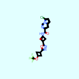 O=C(NC12CC(c3nnc(C4CC(OC(F)(F)F)C4)o3)(C1)C2)c1cc2ccc(Cl)n2cn1